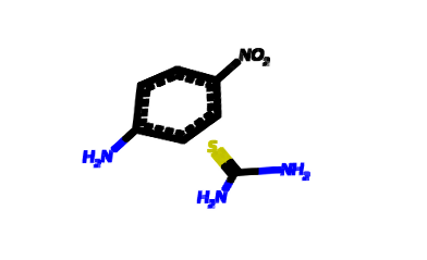 NC(N)=S.Nc1ccc([N+](=O)[O-])cc1